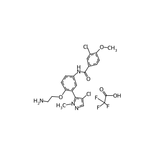 COc1ccc(C(=O)Nc2ccc(OCCN)c(-c3c(Cl)cnn3C)c2)cc1Cl.O=C(O)C(F)(F)F